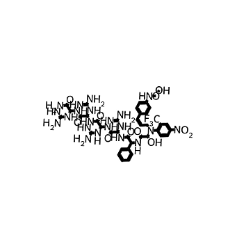 N=C(N)NC(NC(=O)C(NC(=N)N)NC(=O)C(NC(=N)N)NC(=O)C(NC(=N)N)NC(=O)C(NC(=O)C(O)N(C/C=C\c1ccc(NOO)cc1)c1ccc([N+](=O)[O-])cc1C(F)(F)F)c1ccccc1)C(N)=O